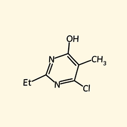 CCc1nc(O)c(C)c(Cl)n1